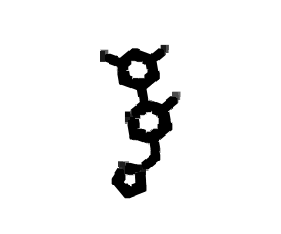 Fc1cc(F)cc(-c2ncc(Cn3cccn3)cc2F)c1